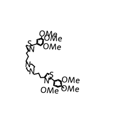 COc1cc(-c2nc(CCCN3CCN(CCCc4csc(-c5cc(OC)c(OC)c(OC)c5)n4)CC3)cs2)cc(OC)c1OC